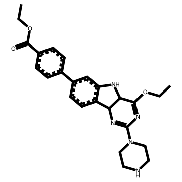 CCOC(=O)c1ccc(-c2ccc3c(c2)NC2C(OCC)=NC(N4CCNCC4)=NC32)cc1